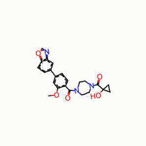 COc1cc(-c2ccc3ocnc3c2)ccc1C(=O)N1CCN(C(=O)C2(O)CC2)CC1